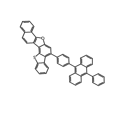 c1ccc(-c2c3ccccc3c(-c3ccc(-c4cc5oc6c7ccccc7ccc6c5c5sc6ccccc6c45)cc3)c3ccccc23)cc1